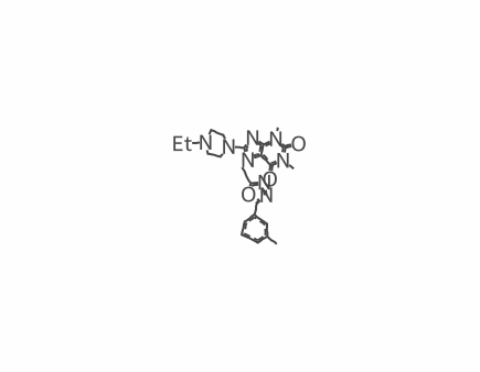 CCN1CCN(c2nc3c(c(=O)n(C)c(=O)n3C)n2Cc2nnc(-c3cccc(C)c3)o2)CC1